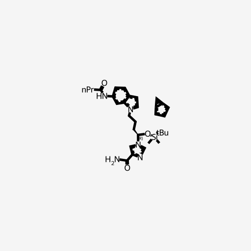 CCCC(=O)Nc1ccc2ccn(CCC[C@@H](O[Si](C)(C)C(C)(C)C)n3cnc(C(N)=O)c3)c2c1.c1cc2cc-2c1